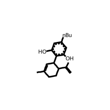 C=C(C)C1CCC(C)=CC1c1c(O)cc(CCCC)cc1O